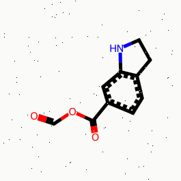 O=COC(=O)c1ccc2c(c1)NCC2